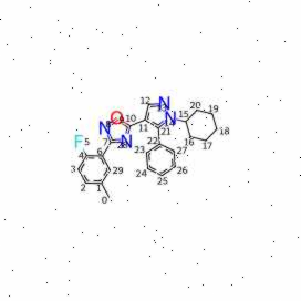 Cc1ccc(F)c(-c2noc(-c3cnn(C4CCCCC4)c3-c3ccccc3)n2)c1